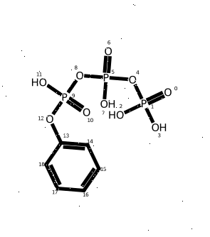 O=P(O)(O)OP(=O)(O)OP(=O)(O)Oc1ccccc1